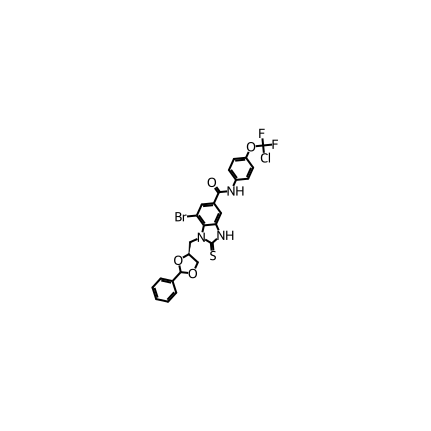 O=C(Nc1ccc(OC(F)(F)Cl)cc1)c1cc(Br)c2c(c1)[nH]c(=S)n2C[C@H]1COC(c2ccccc2)O1